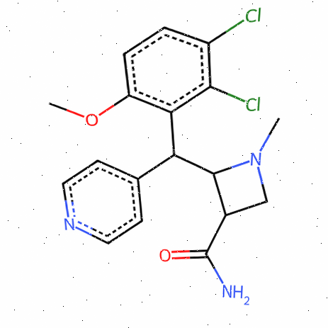 COc1ccc(Cl)c(Cl)c1C(c1ccncc1)C1C(C(N)=O)CN1C